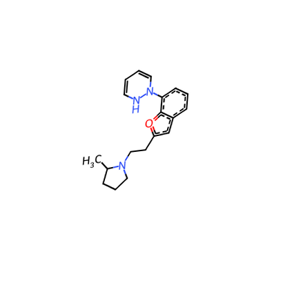 CC1CCCN1CCc1cc2cccc(N3C=CC=CN3)c2o1